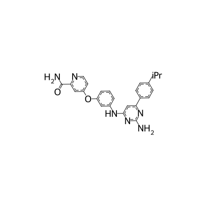 CC(C)c1ccc(-c2cc(Nc3cccc(Oc4ccnc(C(N)=O)c4)c3)nc(N)n2)cc1